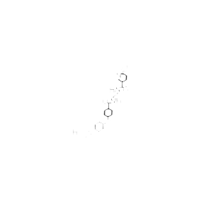 O=C(NCCNC(=O)c1ccc(Cl)nc1)c1ccc(O[C@H]2CC[C@@H](C(=O)O)CC2)cc1